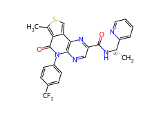 Cc1scc2c1c(=O)n(-c1ccc(C(F)(F)F)cc1)c1ncc(C(=O)N[C@@H](C)c3ccccn3)nc21